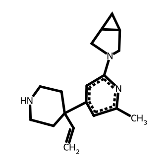 C=CC1(c2cc(C)nc(N3CC4CC4C3)c2)CCNCC1